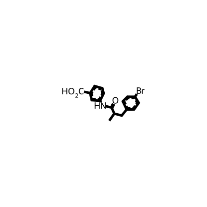 CC(Cc1ccc(Br)cc1)C(=O)Nc1cccc(C(=O)O)c1